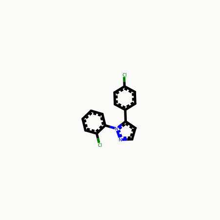 Clc1ccc(-c2[c]cnn2-c2ccccc2Cl)cc1